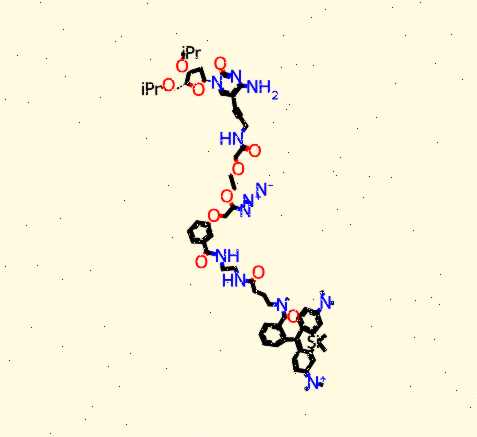 CC(C)OC[C@H]1O[C@@H](n2cc(C#CCNC(=O)COCCOC(COc3cccc(C(=O)NCCNC(=O)CCCN(C)C(=O)c4ccccc4C4=C5C=CC(=[N+](C)C)C=C5[Si](C)(C)c5cc(N(C)C)ccc54)c3)N=[N+]=[N-])c(N)nc2=O)CC1OC(C)C